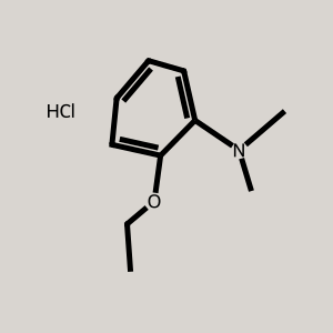 CCOc1ccccc1N(C)C.Cl